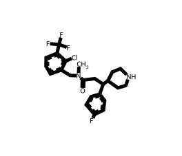 CN(Cc1cccc(C(F)(F)F)c1Cl)C(=O)CC(c1ccc(F)cc1)C1CCNCC1